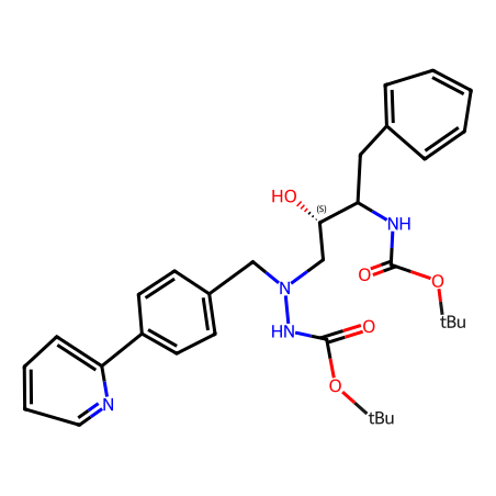 CC(C)(C)OC(=O)NC(Cc1ccccc1)[C@@H](O)CN(Cc1ccc(-c2ccccn2)cc1)NC(=O)OC(C)(C)C